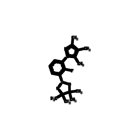 Cc1nn(-c2cccc(B3OC(C)(C)C(C)(C)O3)c2F)c(C)c1C